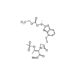 COC(=O)C(=C(C)OS(C)(=O)=O)N1C[C@H](SSc2cccc3sc([C@@H](C)OC(=O)OCC(Cl)(Cl)Cl)nc23)C1=O